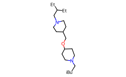 CCC(C)CN1CCC(OCC2CCN(CC(CC)CC)CC2)CC1